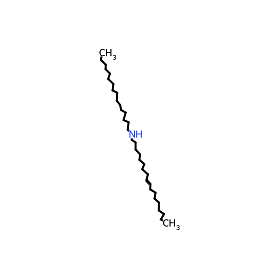 CCCCCCCCC=CCCCCCCCCNCCCCCCCCCCCCCCCC